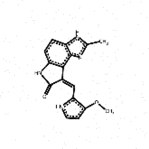 COc1cc[nH]c1/C=C1\C(=O)Nc2ccc3[nH]c(C)nc3c21